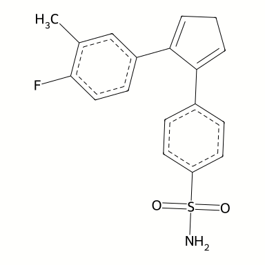 Cc1cc(C2=CCC=C2c2ccc(S(N)(=O)=O)cc2)ccc1F